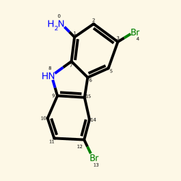 Nc1cc(Br)cc2c1[nH]c1ccc(Br)cc12